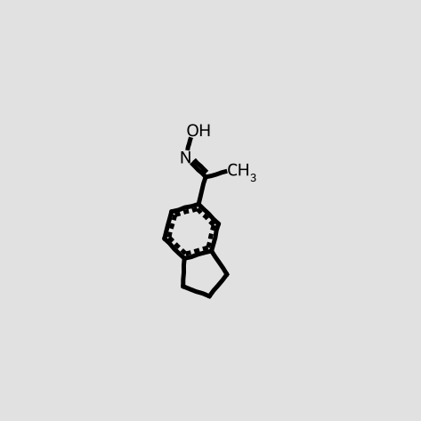 CC(=NO)c1ccc2c(c1)CCC2